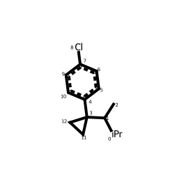 CC(C)C(C)C1(c2ccc(Cl)cc2)CC1